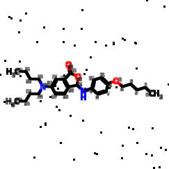 CCCCCOc1ccc(NC2OC(=O)c3cc(N(CCCC)CCCC)ccc32)cc1